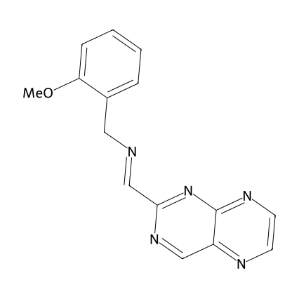 COc1ccccc1CN=Cc1ncc2nccnc2n1